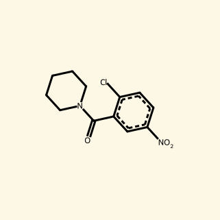 O=C(c1cc([N+](=O)[O-])ccc1Cl)N1CCCCC1